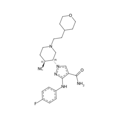 N#C[C@H]1CCN(CCC2CCOCC2)C[C@@H]1n1cc(C(N)=O)c(Nc2ccc(F)cc2)n1